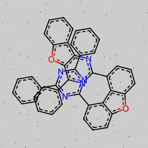 c1ccc(-c2nc(-c3ccccc3)nc(-c3cccc4oc5cccc(-c6nc(-c7ccccc7)c7oc8ccccc8c7n6)c5c34)n2)cc1